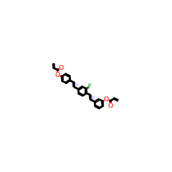 C=CC(=O)Oc1ccc(/C=C/c2ccc(/C=C/c3cccc(OC(=O)C=C)c3)c(F)c2)cc1